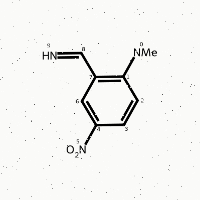 CNc1ccc([N+](=O)[O-])cc1C=N